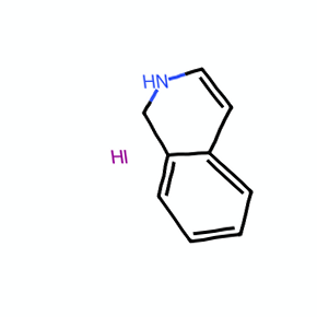 C1=Cc2ccccc2CN1.I